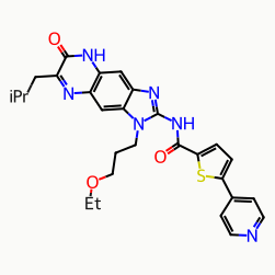 CCOCCCn1c(NC(=O)c2ccc(-c3ccncc3)s2)nc2cc3[nH]c(=O)c(CC(C)C)nc3cc21